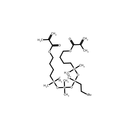 C=C(C)C(=O)OCCCC[Si](C)(C)O[Si](C)(C)O[Si](C)(CCC(C)(C)C)O[Si](C)(C)CCCCOC(=O)C(=C)C